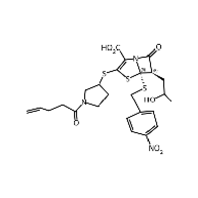 C=CCCC(=O)N1CCC(SC2=C(C(=O)O)N3C(=O)[C@@H](CC(C)O)[C@@]3(SCc3ccc([N+](=O)[O-])cc3)S2)C1